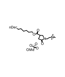 CCCCCCCCCCCCCCCCOC(=O)C1CC(=O)N(CC[N+](C)(C)C)C1.COS(=O)(=O)[O-]